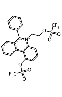 O=S(=O)(OCC[n+]1c(-c2ccccc2)c2ccccc2c2c(OS(=O)(=O)C(F)(F)F)cccc21)C(F)(F)F